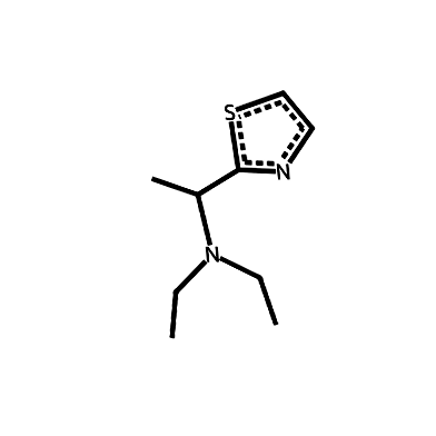 CCN(CC)C(C)c1nccs1